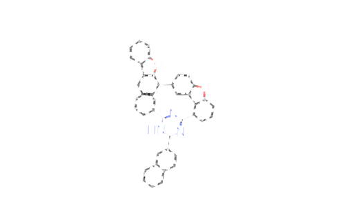 c1ccc(C2=NC(c3cccc4oc5ccc(-c6cccc7c6oc6ccccc67)cc5c34)=NC(c3ccc4ccccc4c3)N2)cc1